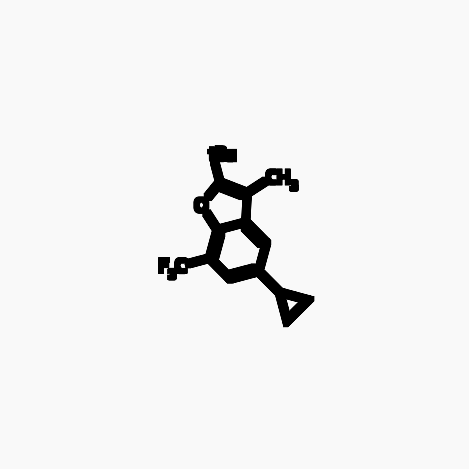 Cc1c(C(C)(C)C)oc2c(C(F)(F)F)cc(C3CC3)cc12